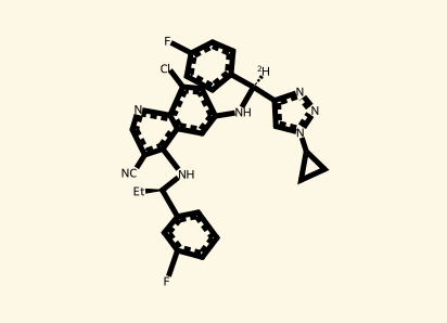 [2H][C@](Nc1cc(Cl)c2ncc(C#N)c(N[C@H](CC)c3cccc(F)c3)c2c1)(c1ccc(F)cc1)c1cn(C2CC2)nn1